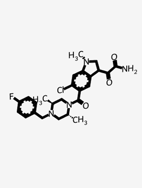 C[C@@H]1CN(Cc2ccc(F)cc2)[C@@H](C)CN1C(=O)c1cc2c(cc1Cl)N(C)CC2C(=O)C(N)=O